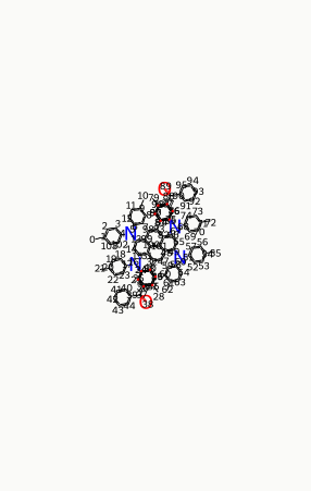 Cc1ccc(N(c2ccc(C)cc2)c2cc(N(c3ccc(C)cc3)c3ccc(C)cc3)c3c(-c4ccc(C(=O)c5ccccc5)cc4)cc4c(N(c5ccc(C)cc5)c5ccc(C)cc5)cc(N(c5ccc(C)cc5)c5ccc(C)cc5)c5c(-c6ccc(C(=O)c7ccccc7)cc6)cc2c3c45)cc1